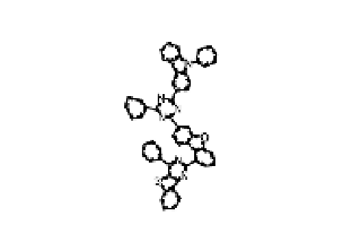 c1ccc(-c2nc(-c3ccc4c(c3)oc3cccc(-c5nc(-c6ccccc6)c6sc7ccccc7c6n5)c34)nc(-c3ccc4c(c3)c3ccccc3n4-c3ccccc3)n2)cc1